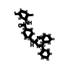 Cc1ccc(C)c(NC(=O)c2ccc(Nc3nc(-c4ccccc4)c4ccccc4n3)cc2)c1